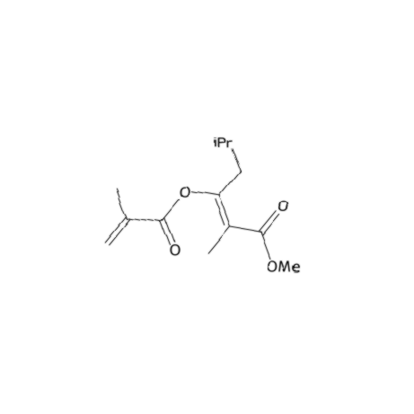 C=C(C)C(=O)OC(CC(C)C)=C(C)C(=O)OC